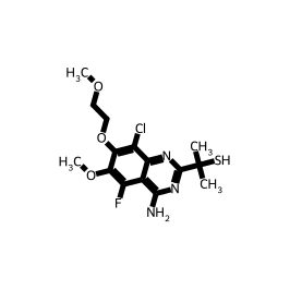 COCCOc1c(OC)c(F)c2c(N)nc(C(C)(C)S)nc2c1Cl